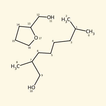 CC(C)CCCCC(C)CO.OCC1CCCO1